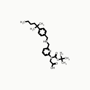 CCCCC(C)(C)c1ccc(CNCc2cccc(N(CC(=O)O)C(=O)OC(C)(C)C)n2)cc1